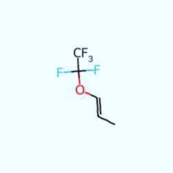 CC=COC(F)(F)C(F)(F)F